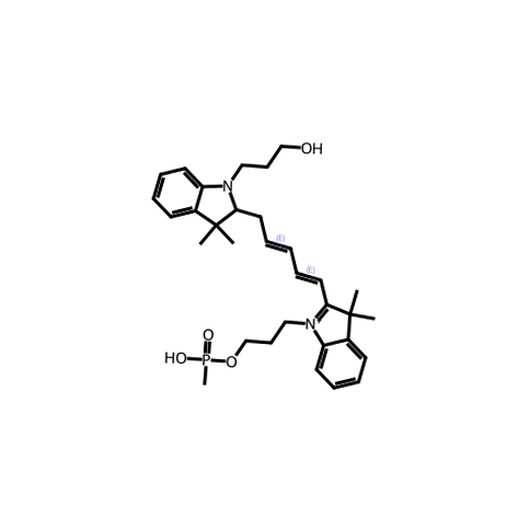 CC1(C)C(/C=C/C=C/CC2N(CCCO)c3ccccc3C2(C)C)=[N+](CCCOP(C)(=O)O)c2ccccc21